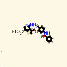 CCOC(=O)c1cnc(N)c2c(COc3cc(NC(=O)c4ccccc4)ccc3C)csc12